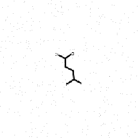 [CH2]C(I)CCC(Cl)CC